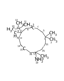 CC1(C)CCCCC(C)(C(C)(C)C)CCCCC(C)(N)CC1